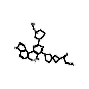 C=CC(=O)N1CC2(CCN(c3nc(N4CCC[C@@H](CO)C4)nc(-c4c(C)ccc5[nH]ncc45)c3C#N)C2)C1